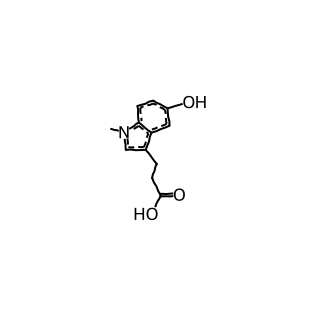 Cn1cc(CCC(=O)O)c2cc(O)ccc21